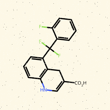 O=C(O)C1=CNc2cccc(C(F)(F)c3ccccc3F)c2C1